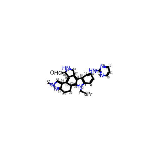 CC(C)Cn1c2ccc(Nc3ncccn3)cc2c2c3c(c4c(c21)CCc1nn(C)cc1-4)C(C=O)NC3